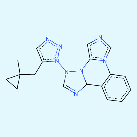 CC1(Cc2cnnn2N2C=NC3c4ccccc4-n4cncc4N32)CC1